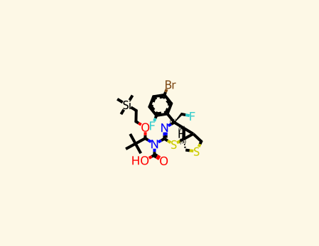 CC(C)(C)C(OCC[Si](C)(C)C)N(C(=O)O)C1=N[C@](CF)(c2cc(Br)ccc2F)[C@H]2C3CSC[C@@]32S1